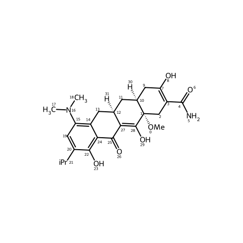 CO[C@@]12CC(C(N)=O)=C(O)C[C@@H]1C[C@@H]1Cc3c(N(C)C)cc(C(C)C)c(O)c3C(=O)C1=C2O